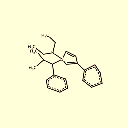 CCN(CC)S1(C(c2ccccc2)C(C)C)C=CC(c2ccccc2)=C1